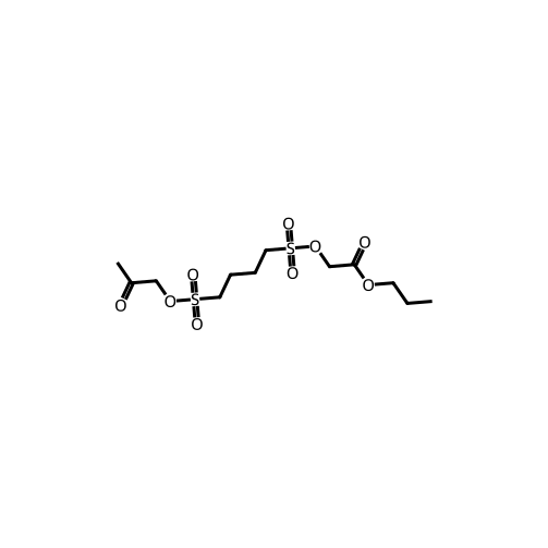 CCCOC(=O)COS(=O)(=O)CCCCS(=O)(=O)OCC(C)=O